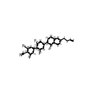 C=CCCc1ccc2c(F)c(-c3cc(F)c(-c4cc(F)c(C#N)c(F)c4)c(F)c3)ccc2c1